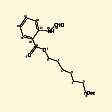 CCCCCCCCCCCCCCCCOC(=O)c1ccccc1NC=O